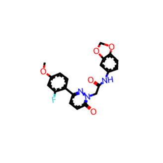 COc1ccc(-c2ccc(=O)n(CC(=O)Nc3ccc4c(c3)OCO4)n2)c(F)c1